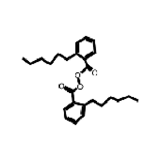 CCCCCCc1ccccc1C(=O)OOC(=O)c1ccccc1CCCCCC